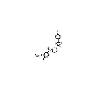 COc1cc(C(=O)N2CCC[C@H](c3nc(-c4ccc(F)cc4)no3)C2)ccc1F